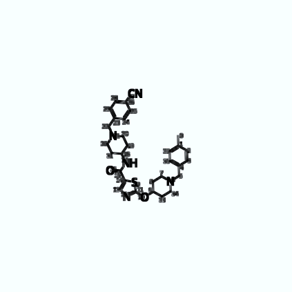 Cc1ccc(CN2CCC(Oc3ncc(C(=O)NC4CCN(Cc5ccc(C#N)cc5)CC4)s3)CC2)cc1